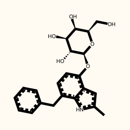 Cc1cc2c(O[C@@H]3O[C@H](CO)[C@H](O)[C@H](O)[C@H]3O)ccc(Cc3ccccc3)c2[nH]1